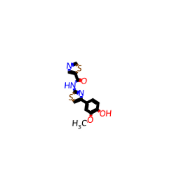 COc1cc(-c2csc(NC(=O)c3cncs3)n2)ccc1O